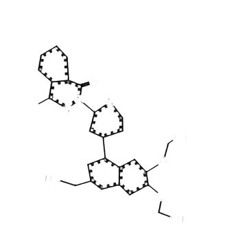 CCOc1cc2cc(CO)cc(-c3ccnc(-n4nc(C)c5ccccc5c4=O)c3)c2cc1OCC